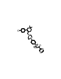 CC1(C)CCC(CN2CCN(c3ccc(S(=O)(=O)NC(=O)c4cnccn4)cc3)CC2)=C(c2ccc(Cl)cc2)C1